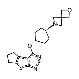 c1nc(O[C@H]2CC[C@H](N3CC4(COC4)C3)CC2)c2c3c(sc2n1)CCC3